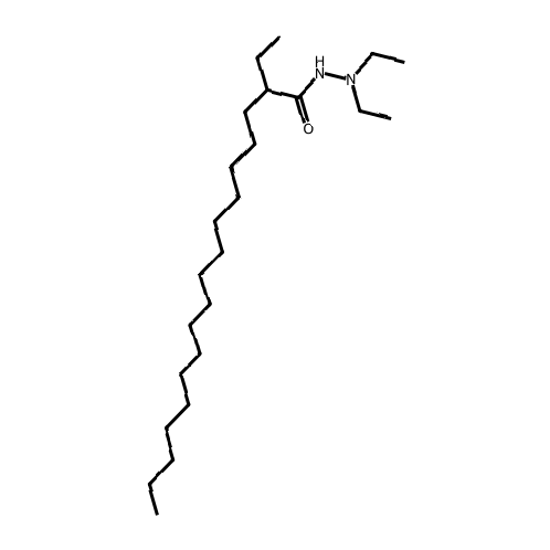 CCCCCCCCCCCCCCCCC(CC)C(=O)NN(CC)CC